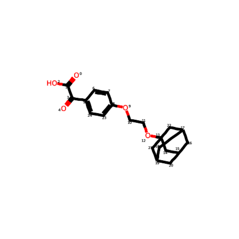 O=C(O)C(=O)c1ccc(OCCOC23CC4CC(CC(C4)C2)C3)cc1